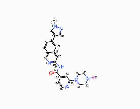 CCn1cc(-c2ccc3cnc(NC(=O)c4ccnc(N5CCN(I)CC5)c4)cc3c2)cn1